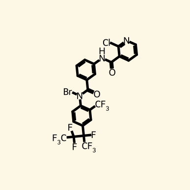 O=C(Nc1cccc(C(=O)N(Br)c2ccc(C(F)(C(F)(F)F)C(F)(F)C(F)(F)F)cc2C(F)(F)F)c1)c1cccnc1Cl